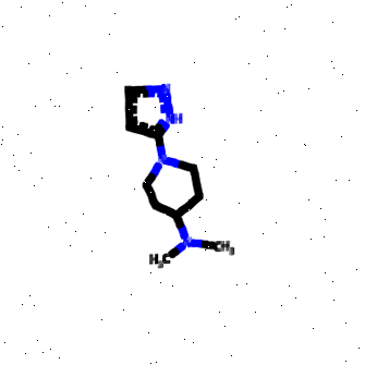 CN(C)C1CCN(c2ccn[nH]2)CC1